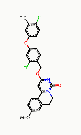 COc1ccc2c(c1)CCn1c-2cc(OCc2ccc(Oc3ccc(Cl)c(C(F)(F)F)c3)cc2Cl)nc1=O